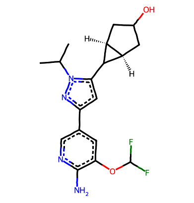 CC(C)n1nc(-c2cnc(N)c(OC(F)F)c2)cc1C1[C@H]2CC(O)C[C@@H]12